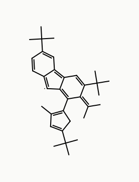 CC1=C(c2c3c(cc(C(C)(C)C)c2=C(C)C)=c2cc(C(C)(C)C)ccc2=[C]3)CC(C(C)(C)C)=C1